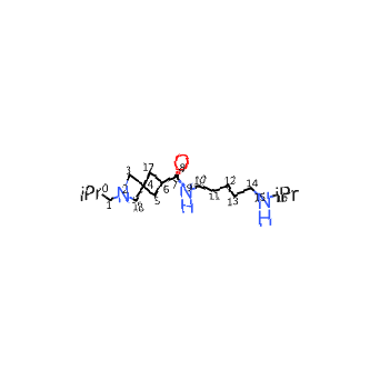 CC(C)CN1CC2(CC(C(=O)NCCCCCNC(C)C)C2)C1